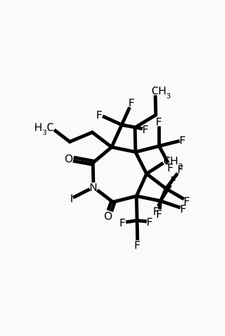 CCCC1(C(F)(F)F)C(=O)N(I)C(=O)C(C(F)(F)F)(C(F)(F)F)C(C)(C(F)(F)F)C1(CCC)C(F)(F)F